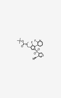 CN(Cc1cn(S(=O)(=O)c2cscc2C#N)c(-c2cccnc2F)c1F)C(=O)OC(C)(C)C